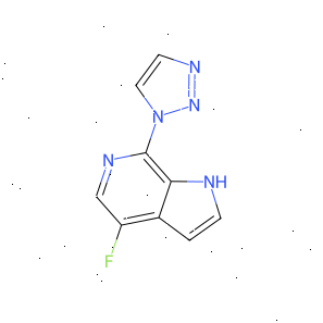 Fc1cnc(-n2ccnn2)c2[nH]ccc12